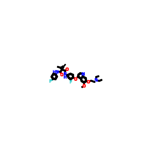 CCN(CC)CCOc1cc2nccc(Oc3ccc(NC(=O)C4(C(=O)Nc5ccc(F)cc5)C(C)[C@H]4C)cc3F)c2cc1OC